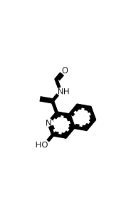 C=C(NC=O)c1nc(O)cc2ccccc12